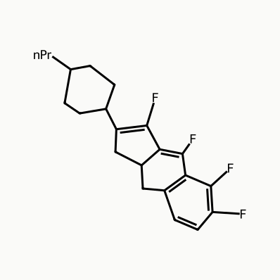 CCCC1CCC(C2=C(F)C3=C(F)c4c(ccc(F)c4F)CC3C2)CC1